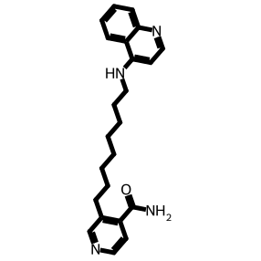 NC(=O)c1ccncc1CCCCCCCCNc1ccnc2ccccc12